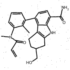 C=CC(=O)N(C)c1cccc(-c2ccc(C(N)=O)c3[nH]c4c(c23)CCC(CO)C4)c1C